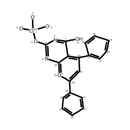 [O-][Cl+3]([O-])([O-])Oc1nc(O)c2c(-c3ccccc3)cc(-c3ccccc3)[o+]c2n1